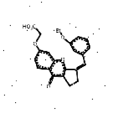 CCOc1cccc(/C=C2/CCc3c2oc2cc(OCC(=O)O)ccc2c3=O)c1